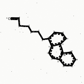 O=[C]CCCCCc1cccc2c1ccc1ccccc12